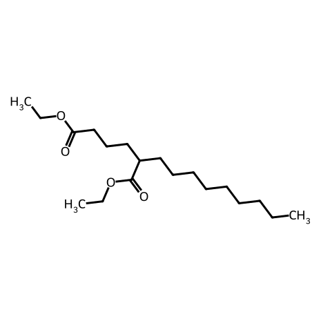 CCCCCCCCCC(CCCC(=O)OCC)C(=O)OCC